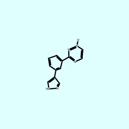 [O-][n+]1ccnc(-c2cccc(-c3cn[nH]c3)c2)n1